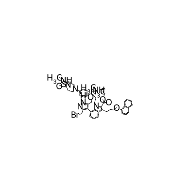 CCOC(=O)c1c(CCCOc2cccc3ccccc23)c2cccc(-c3c(CBr)n[nH]c3COc3ccc(N4CCN([S+]([O-])NC)CC4)cc3)c2n1CCCNC